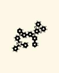 c1ccc(-c2ccc3c(c2)c2cc(-c4ccc5c(c4)c4ccccc4n5-c4cccc(-c5nc(-c6ccccc6)nc(-c6ccccc6)n5)c4)ccc2n3-c2cc3c4c(c2)Oc2ccccc2N4c2ccccc2O3)cc1